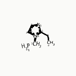 CCc1nccn1C.P